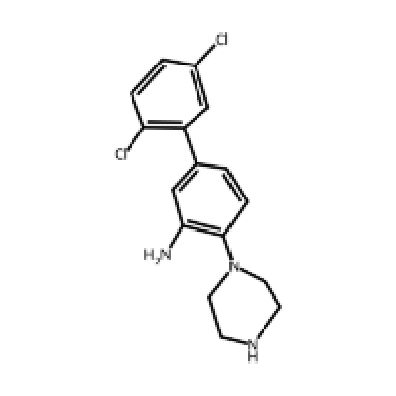 Nc1cc(-c2cc(Cl)ccc2Cl)ccc1N1CCNCC1